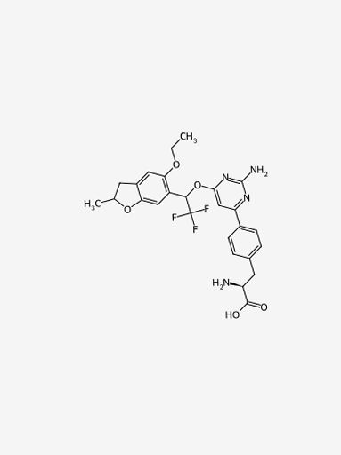 CCOc1cc2c(cc1C(Oc1cc(-c3ccc(C[C@H](N)C(=O)O)cc3)nc(N)n1)C(F)(F)F)OC(C)C2